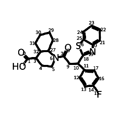 O=C(O)C1CCN(C(=O)CC(c2ccc(F)cc2)c2nc3ccccc3s2)C2CCCCC12